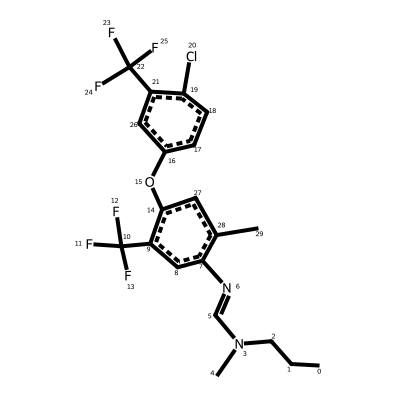 CCCN(C)C=Nc1cc(C(F)(F)F)c(Oc2ccc(Cl)c(C(F)(F)F)c2)cc1C